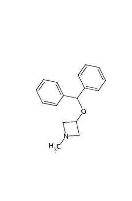 CN1CC(OC(c2ccccc2)c2ccccc2)C1